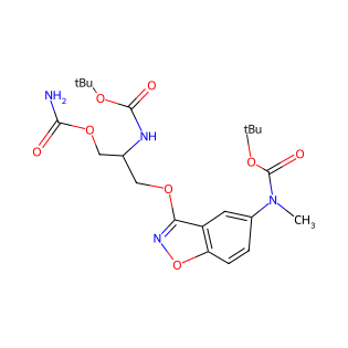 CN(C(=O)OC(C)(C)C)c1ccc2onc(OCC(COC(N)=O)NC(=O)OC(C)(C)C)c2c1